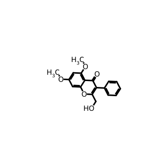 COc1cc(OC)c2c(=O)c(-c3ccccc3)c(CO)oc2c1